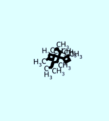 C=C(C)C(C)C(C(C)C=C(C)C)(C1C=CC1(C)C)C1(C)C=C(C)C1